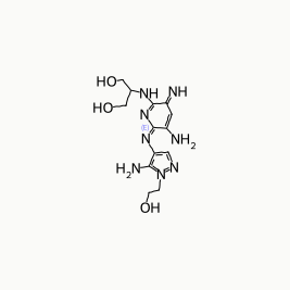 N=C1C=C(N)/C(=N\c2cnn(CCO)c2N)N=C1NC(CO)CO